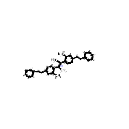 C/C(=C(/C)c1ccc(CCc2ccccc2)cc1C)c1ccc(CCc2ccccc2)cc1C